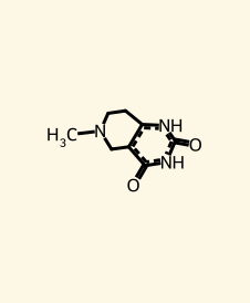 CN1CCc2[nH]c(=O)[nH]c(=O)c2C1